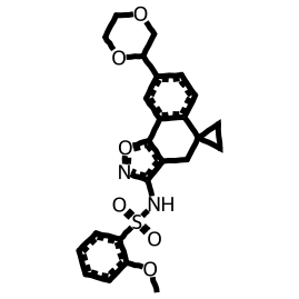 COc1ccccc1S(=O)(=O)Nc1noc2c1CC1(CC1)c1ccc(C3COCCO3)cc1-2